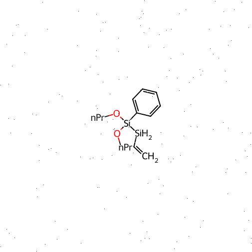 C=C[SiH2][Si](OCCC)(OCCC)c1ccccc1